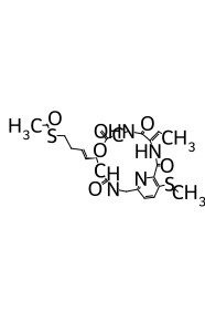 C/C=C1\NC(=O)c2nc(ccc2SC)CNC(=O)C[C@@H](/C=C/CCSC(C)=O)OC(=O)CNC1=O